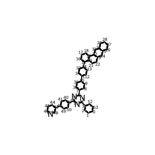 c1ccc(-c2nc(-c3ccc(-c4ccc(-c5cccc6c5ccc5cc7ccccc7cc56)cc4)cc3)nc(-c3ccc(-c4cccnc4)cc3)n2)cc1